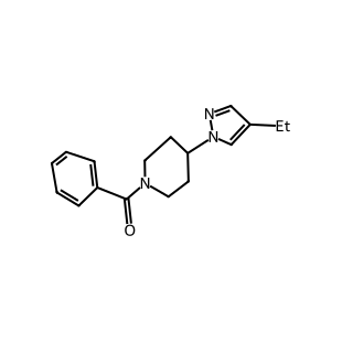 CCc1cnn(C2CCN(C(=O)c3ccccc3)CC2)c1